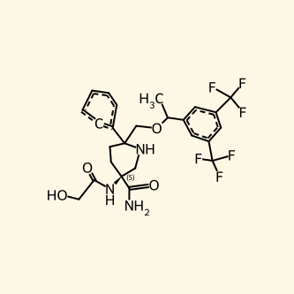 CC(OCC1(c2ccccc2)CC[C@@](NC(=O)CO)(C(N)=O)CN1)c1cc(C(F)(F)F)cc(C(F)(F)F)c1